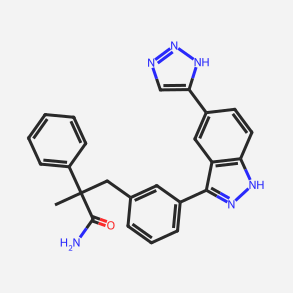 CC(Cc1cccc(-c2n[nH]c3ccc(-c4cnn[nH]4)cc23)c1)(C(N)=O)c1ccccc1